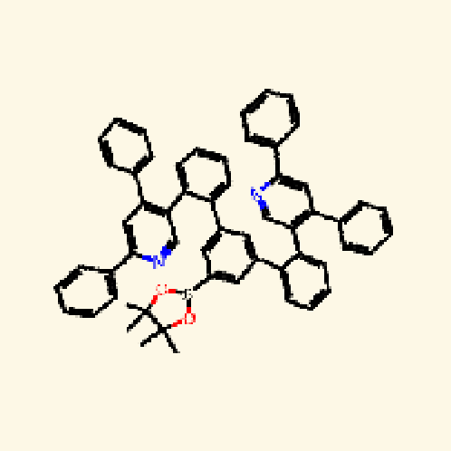 CC1(C)OB(c2cc(-c3ccccc3-c3cnc(-c4ccccc4)cc3-c3ccccc3)cc(-c3ccccc3-c3cnc(-c4ccccc4)cc3-c3ccccc3)c2)OC1(C)C